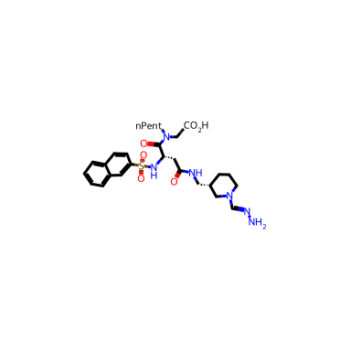 CCCCCN(CC(=O)O)C(=O)[C@H](CC(=O)NC[C@@H]1CCCN(C=NN)C1)NS(=O)(=O)c1ccc2ccccc2c1